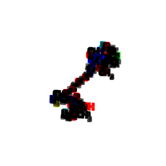 COc1nc(Nc2cc(S(C)(=O)=O)ccc2N[C@H](c2ccccc2Cl)c2cccc3c2OC(F)(F)O3)nc(N2CCN(CCOCCOCCOCCOc3cc(-c4scnc4C)ccc3CNC(=O)C3C[C@@H](O)CN3C(=O)C(CC(=O)C3(F)CC3)C(C)(C)C)CC2)n1